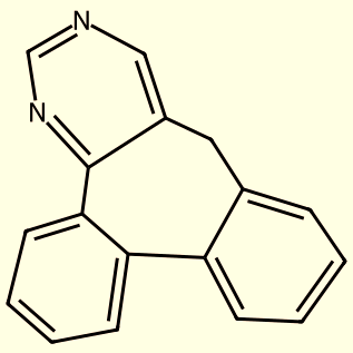 c1ccc2c(c1)Cc1cncnc1-c1ccccc1-2